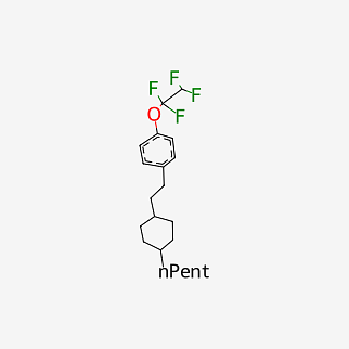 CCCCCC1CCC(CCc2ccc(OC(F)(F)C(F)F)cc2)CC1